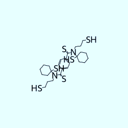 S=C(c1ccc(C(=S)N(CCCS)C2(S)CCCCC2)cc1)N(CCCS)C1(S)CCCCC1